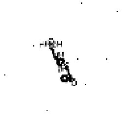 O=P(O)(O)CCCNCc1ccc(SCCCCC2(c3ccccc3)COC2)c(Br)c1